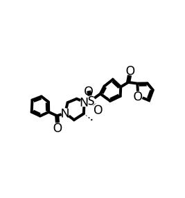 C[C@@H]1CN(C(=O)c2ccccc2)CCN1S(=O)(=O)c1ccc(C(=O)c2ccco2)cc1